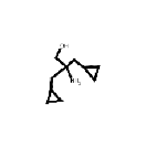 NC(CO)(CC1CC1)CC1CC1